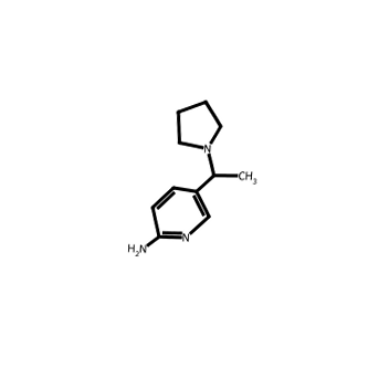 CC(c1ccc(N)nc1)N1CCCC1